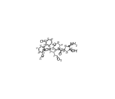 COCCCC[C@@](O)(c1cccc(Cl)c1-c1cccc(OC)c1)C1CN(C(=O)[C@H]2C[C@@H](N)[C@@H](O)C2)CCO1